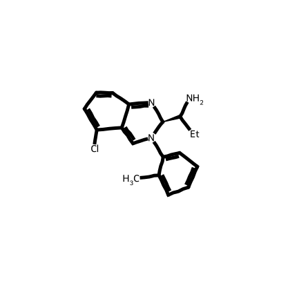 CCC(N)[C@@H]1N=c2cccc(Cl)c2=CN1c1ccccc1C